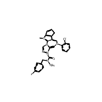 CCCN(Cc1ccc(F)cc1)C(=O)N1N=CN2C1=CN(c1ccccc1Cl)C=C1C3=C(C=CC3)S(C)=C12